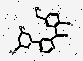 CCc1ccc(N)c(C(=N)c2cc(N3CC(C)CC(C)C3)ncn2)c1